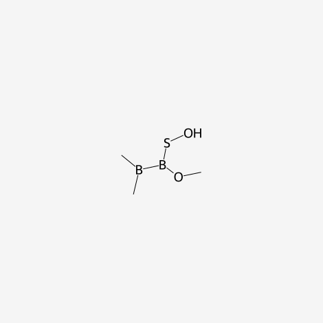 COB(SO)B(C)C